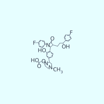 CN1CCN(OC(=O)O)C(c2ccc(C3C(CCC(O)c4ccc(F)cc4)C(=O)N3c3ccc(F)cc3)c(O)c2)C1